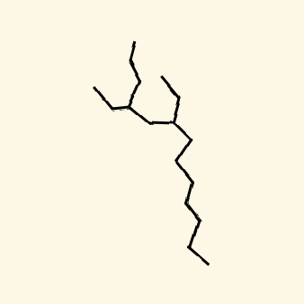 CCCCCCCC(CC)CC(CC)CCC